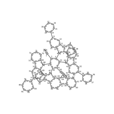 N#Cc1c(-n2c3ccccc3c3cc(-c4ccccc4)ccc32)c(-n2c3ccccc3c3cc(-c4ccccc4)ccc32)c(C#N)c(-n2c3ccccc3c3ccc4c5ccccc5oc4c32)c1-n1c2ccccc2c2cc(-c3ccccc3)ccc21